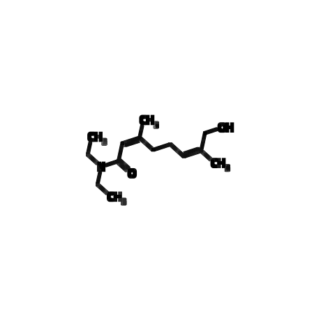 CCN(CC)C(=O)C=C(C)CCC=C(C)CO